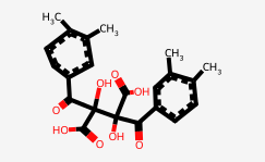 Cc1ccc(C(=O)C(O)(C(=O)O)C(O)(C(=O)O)C(=O)c2ccc(C)c(C)c2)cc1C